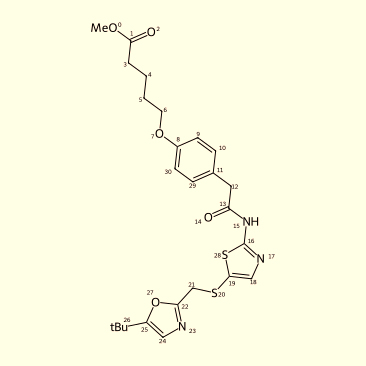 COC(=O)CCCCOc1ccc(CC(=O)Nc2ncc(SCc3ncc(C(C)(C)C)o3)s2)cc1